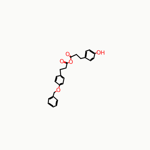 O=C(CCc1ccc(O)cc1)OC(=O)CCc1ccc(OCc2ccccc2)cc1